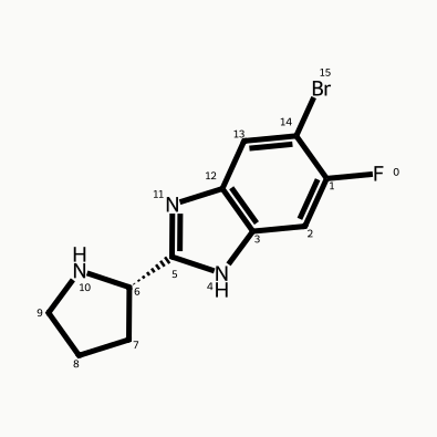 Fc1cc2[nH]c([C@@H]3CCCN3)nc2cc1Br